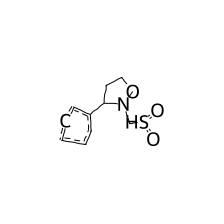 O=[SH](=O)CN1OCCC1c1ccccc1